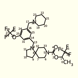 CC(OC(=O)N1CCC2(CCCN2Cc2cc(CN3CCCCC3)cc(OC(F)(F)F)c2)CC1)C(F)(F)F